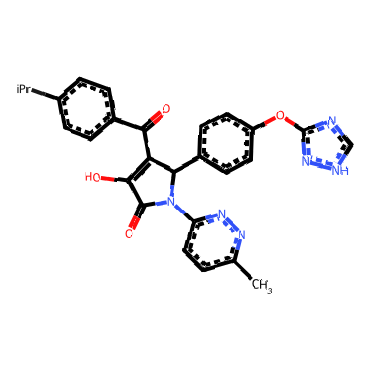 Cc1ccc(N2C(=O)C(O)=C(C(=O)c3ccc(C(C)C)cc3)C2c2ccc(Oc3nc[nH]n3)cc2)nn1